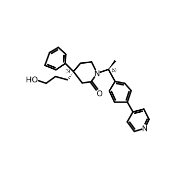 C[C@@H](c1ccc(-c2ccncc2)cc1)N1CC[C@](CCCO)(c2ccccc2)CC1=O